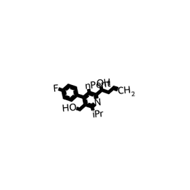 C=CCC(O)c1nc(C(C)C)c(CO)c(-c2ccc(F)cc2)c1CCCCC